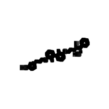 Cc1c(OCCCN[C@@H](CO)c2ccccc2)cccc1-c1cccc(OCCCN2CC[C@@H](O)C2)c1C